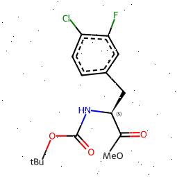 COC(=O)[C@H](Cc1ccc(Cl)c(F)c1)NC(=O)OC(C)(C)C